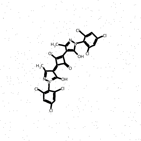 CC1=N[N+](c2c(Cl)cc(Cl)cc2Cl)=C(O)/C1=C1\C(=O)C(c2c(C)nn(-c3c(Cl)cc(Cl)cc3Cl)c2O)=C1[O-]